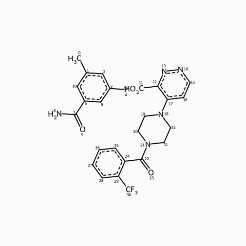 Cc1cc(F)cc(C(N)=O)c1.O=C(O)c1nnccc1N1CCN(C(=O)c2ccccc2C(F)(F)F)CC1